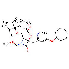 COCO[C@@]1(Cc2cc(OC3CCCCCC3)ccn2)C(=O)N(COC)[C@H]1CO[Si](C(C)C)(C(C)C)C(C)C